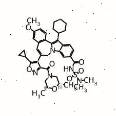 COc1ccc2c(c1)C=C(c1c(C(=O)N3C[C@@H](C)O[C@@H](C)C3)noc1C1CC1)Cn1c-2c(C2CCCCC2)c2ccc(C(=O)NS(=O)(=O)N(C)C)cc21